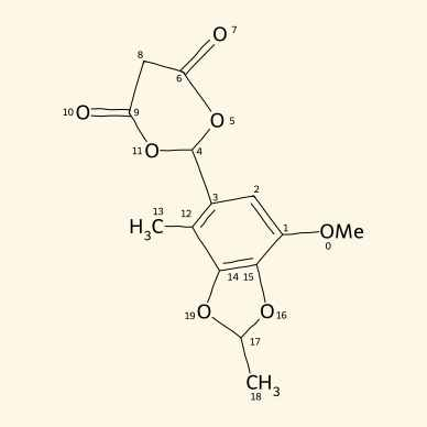 COc1cc(C2OC(=O)CC(=O)O2)c(C)c2c1OC(C)O2